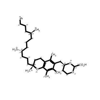 Cc1c(C)c2c(c(C)c1C[C@@H]1CCOC(C(=O)O)O1)CC[C@@](C)(CCC[C@H](C)CCC[C@H](C)CCCC(C)C)O2